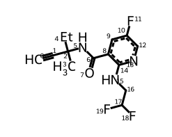 C#CC(C)(CC)NC(=O)c1cc(F)cnc1NCC(F)F